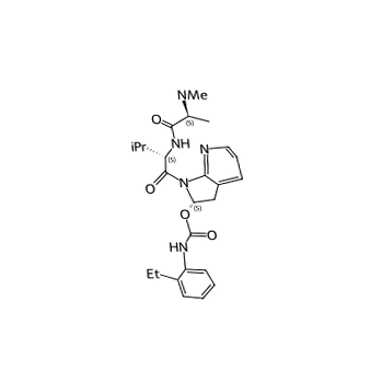 CCc1ccccc1NC(=O)O[C@H]1Cc2cccnc2N1C(=O)[C@@H](NC(=O)[C@H](C)NC)C(C)C